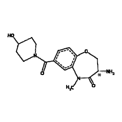 CN1C(=O)[C@@H](N)COc2ccc(C(=O)N3CCC(O)CC3)cc21